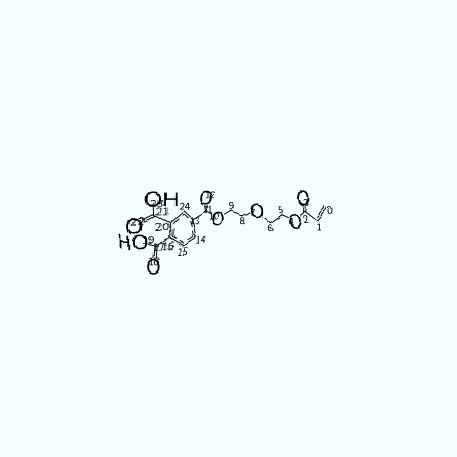 C=CC(=O)OCCOCCOC(=O)c1ccc(C(=O)O)c(C(=O)O)c1